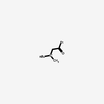 CCCC[S+](C)CC(=O)CC